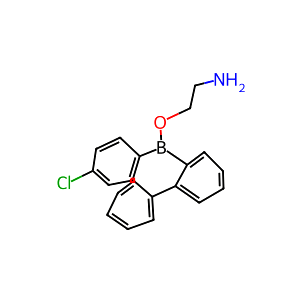 NCCOB(c1ccc(Cl)cc1)c1ccccc1-c1ccccc1